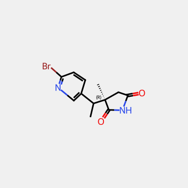 CC(c1ccc(Br)nc1)[C@@]1(C)CC(=O)NC1=O